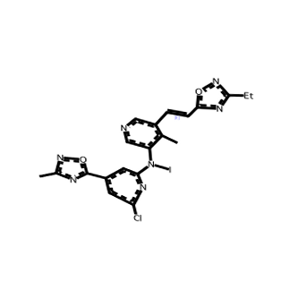 CCc1noc(/C=C/c2cncc(N(I)c3cc(-c4nc(C)no4)cc(Cl)n3)c2C)n1